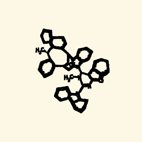 Cc1c2cc3c(c1-c1ccc4ccccc4c1[C@@H](C)c1ccccc1-2)c1ccccc1n3C1c2c(oc3ccccc23)N=C(n2c3ccccc3c3ccccc32)N1C